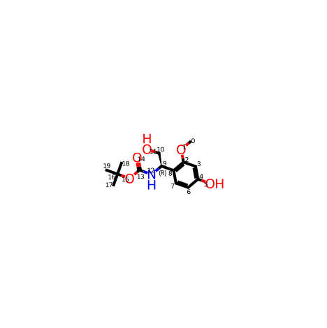 COc1cc(O)ccc1[C@H](CO)NC(=O)OC(C)(C)C